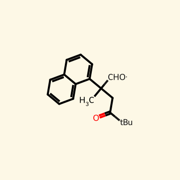 CC(C)(C)C(=O)CC(C)([C]=O)c1cccc2ccccc12